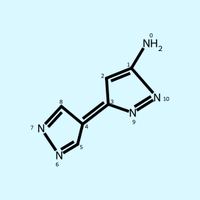 NC1=CC(=C2C=NN=C2)N=N1